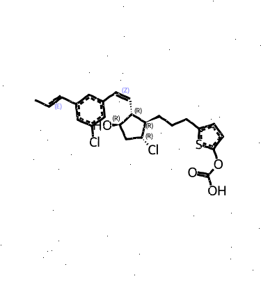 C/C=C/c1cc(Cl)cc(/C=C\[C@@H]2[C@@H](CCCc3ccc(OC(=O)O)s3)[C@H](Cl)C[C@H]2O)c1